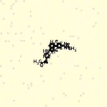 CC(=O)[C@H]1C[C@@H]1c1cnc(N[C@@H]2CCc3c(-c4c(C)cc(-c5nnn(C)n5)cc4C)cccc32)cn1